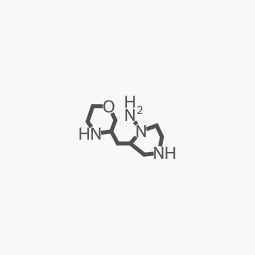 NN1CCNCC1CC1COCCN1